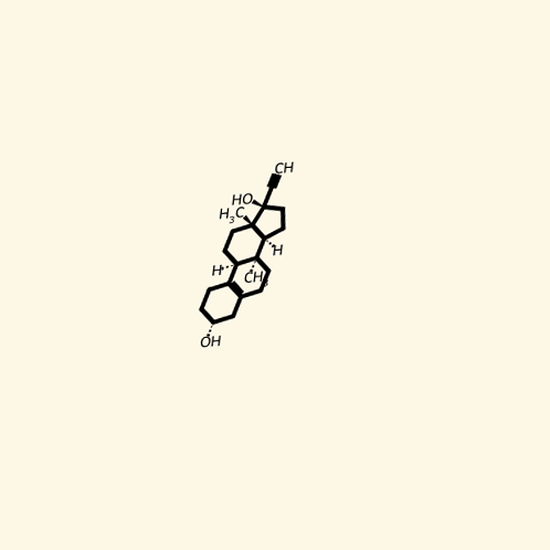 C#C[C@]1(O)CC[C@H]2[C@@]3(C)CCC4=C(CC[C@@H](O)C4)[C@H]3CC[C@@]21C